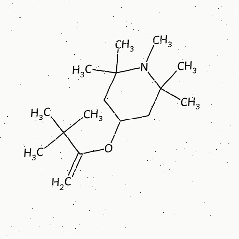 C=C(OC1CC(C)(C)N(C)C(C)(C)C1)C(C)(C)C